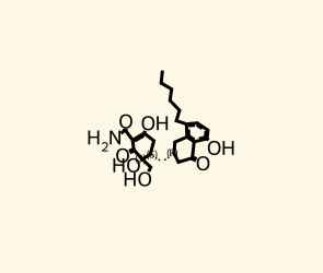 CCCCCCc1ccc(O)c2c1C[C@@H](C[C@H]1CC(O)=C(C(N)=O)C(=O)[C@@]1(O)CO)CC2=O